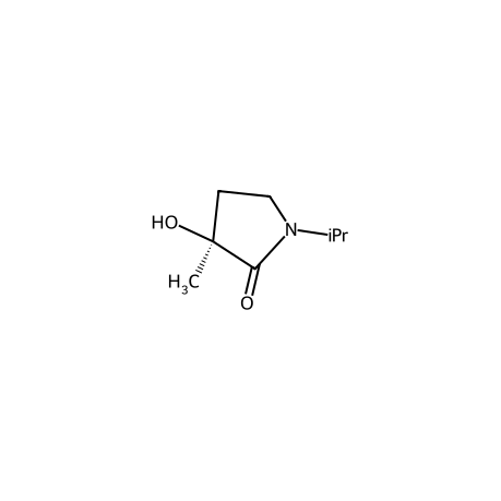 CC(C)N1CC[C@](C)(O)C1=O